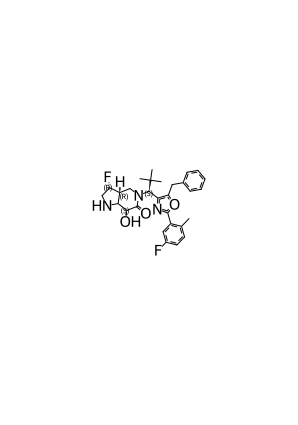 Cc1ccc(F)cc1-c1nc([C@@H](N2C[C@@H]3C(NC[C@@H]3F)[C@H](O)C2=O)C(C)(C)C)c(Cc2ccccc2)o1